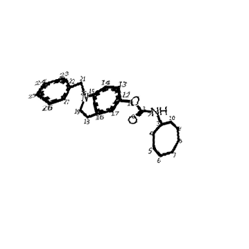 O=C(NC1CCCCCCC1)Oc1ccc2c(c1)CCN2Cc1ccccc1